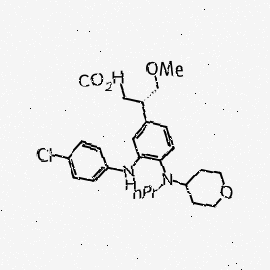 CCCN(c1ccc([C@@H](COC)CC(=O)O)cc1Nc1ccc(Cl)cc1)C1CCOCC1